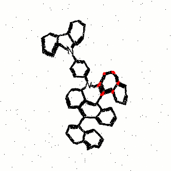 c1ccc(N(c2ccc(-n3c4ccccc4c4ccccc43)cc2)c2cccc3c(-c4cccc5ccccc45)c4ccccc4c(-c4cccc5ccccc45)c23)cc1